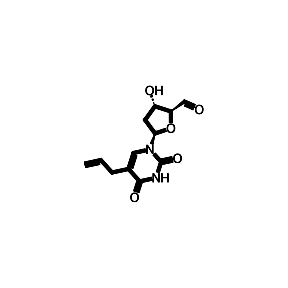 C=CCc1cn([C@H]2C[C@H](O)[C@@H](C=O)O2)c(=O)[nH]c1=O